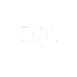 CC(N(C)C)C1(C)CCCCC1